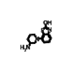 NC1CCCN(c2cccc3nc(O)sc23)C1